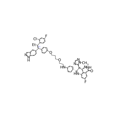 CC/C(=C(/c1ccc(OCCCOCCNc2ccc([C@H]3Nc4cc(F)cc5c(=O)[nH]nc(c45)[C@@H]3c3ncnn3C)cc2)cc1)c1ccc2[nH]ncc2c1)c1ccc(F)cc1Cl